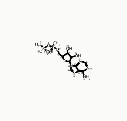 C=P(O)(O)OP(=C)(C)OCC1OC(n2cnc3c(N)ncnc32)C(O)C1O